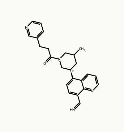 CC1C[C@@H](c2ccc(C=N)c3ncccc23)CN(C(=O)CCc2cccnc2)C1